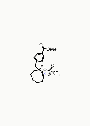 COC(=O)c1ccc(CC2(F)CCCCC/C=C\2OS(=O)(=O)C(F)(F)F)cc1